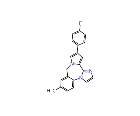 Cc1ccc2c(c1)Cn1cc(-c3ccc(F)cc3)cc1-c1nccn1-2